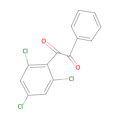 O=C(C(=O)c1c(Cl)cc(Cl)cc1Cl)c1ccccc1